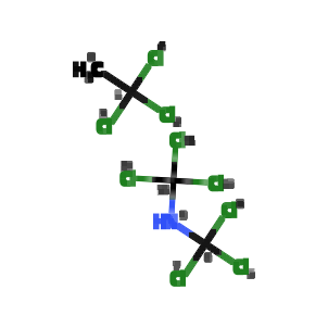 CC(Cl)(Cl)Cl.ClC(Cl)(Cl)NC(Cl)(Cl)Cl